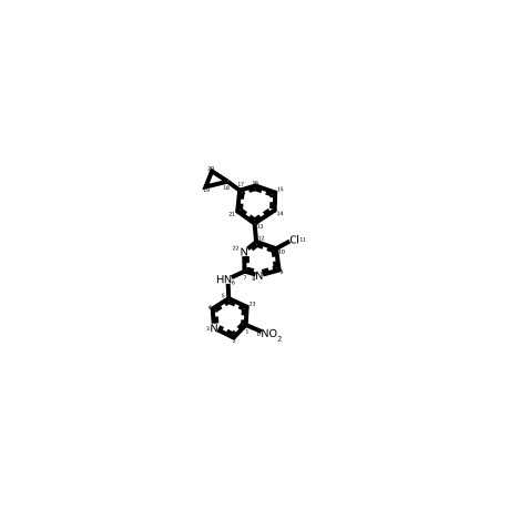 O=[N+]([O-])c1cncc(Nc2ncc(Cl)c(-c3cccc(C4CC4)c3)n2)c1